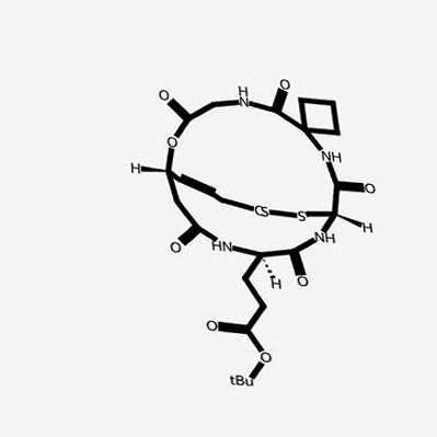 CC(C)(C)OC(=O)CC[C@H]1NC(=O)C[C@H]2/C=C/CCSSC[C@@H](NC1=O)C(=O)NC1(CCC1)C(=O)NCC(=O)O2